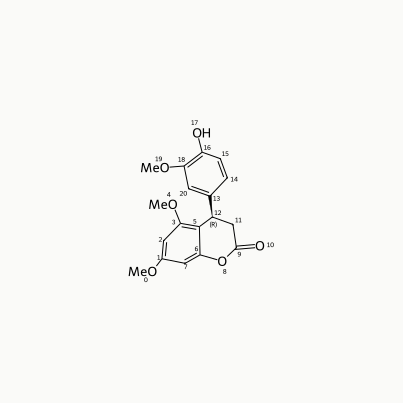 COc1cc(OC)c2c(c1)OC(=O)C[C@@H]2c1ccc(O)c(OC)c1